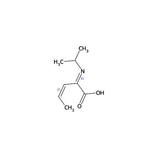 C/C=C\C(=N/C(C)C)C(=O)O